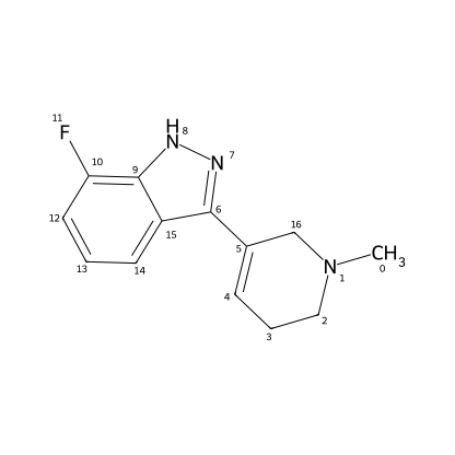 CN1CCC=C(c2n[nH]c3c(F)cccc23)C1